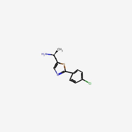 C[C@H](N)c1cnc(-c2ccc(Cl)cc2)s1